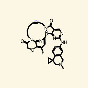 CN1Cc2cc(Nc3ncc4c(=O)n5n(c4n3)-c3cc(F)c4c(n3)N(CCC/C=C\C5)C(=O)CO4)ccc2C2(CC2)C1